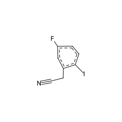 N#CCc1cc(F)ccc1I